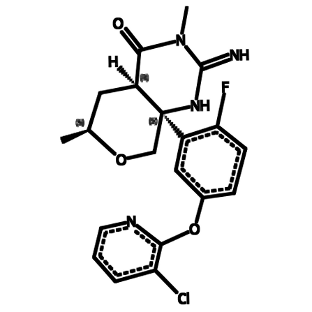 C[C@H]1C[C@H]2C(=O)N(C)C(=N)N[C@@]2(c2cc(Oc3ncccc3Cl)ccc2F)CO1